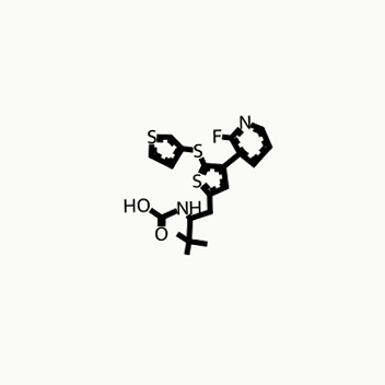 CC(C)(C)C(Cc1cc(-c2cccnc2F)c(Sc2ccsc2)s1)NC(=O)O